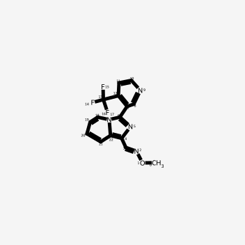 CON=Cc1nc(-c2cnccc2C(F)(F)F)n2ccccc12